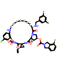 C=C[C@@H]1C[C@@]12NC(=O)[C@@H]1C[C@@H](OC(=O)N3Cc4cccc(F)c4C3)CN1C(=O)[C@@H](NCc1cc(F)cc(F)c1)CCCCCCCNc1ccc(F)cc1S(=O)(=O)NC2=O